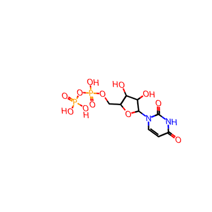 O=c1ccn(C2OC(COP(=O)(O)OP(=O)(O)O)C(O)C2O)c(=O)[nH]1